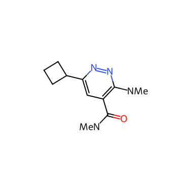 CNC(=O)c1cc(C2CCC2)nnc1NC